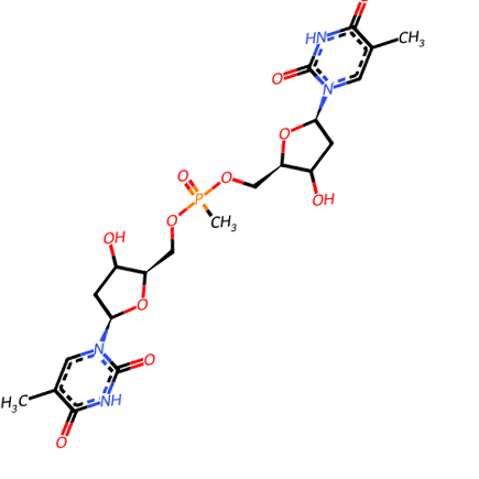 Cc1cn([C@H]2CC(O)[C@@H](COP(C)(=O)OC[C@H]3O[C@@H](n4cc(C)c(=O)[nH]c4=O)CC3O)O2)c(=O)[nH]c1=O